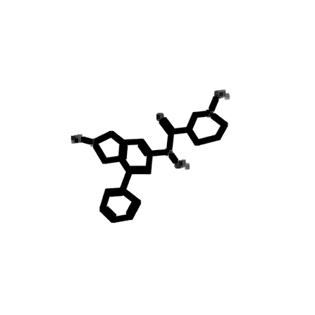 CN1CCCC(C(=O)N(C)c2cc3c(c(-c4ccccc4)c2)CN(C#N)C3)C1